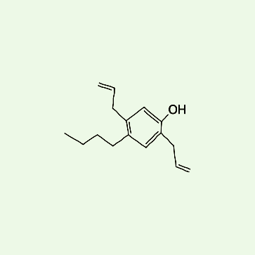 C=CCc1cc(CCCC)c(CC=C)cc1O